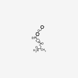 CCN(c1ccc(OCc2ccccc2)cc1)C1CCN(C(=O)[CH]CC(C)C(N)=O)CC1